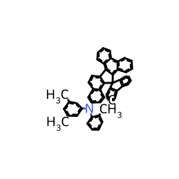 Cc1cc(C)cc(N(c2ccc3c4c(ccc3c2)-c2c(c3ccccc3c3ccccc23)C42c3ccccc3-c3ccccc32)c2ccccc2C)c1